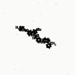 C[C@H]1CCCCN1c1nnc2ccc(O[C@H]3CC[C@H](NC(=O)Nc4cc(C(C)(C)C)nn4-c4cccc(OCCOS(C)(=O)=O)c4)CC3)cn12